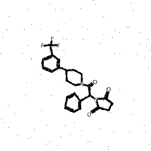 O=C(C(c1ccccc1)N1C(=O)CCC1=O)N1CCC(c2cccc(C(F)(F)F)c2)CC1